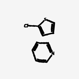 Clc1cccs1.c1ccncc1